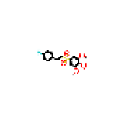 COc1cc(S(=O)(=O)/C=C/c2ccc(F)cc2)cc(OC)c1OC